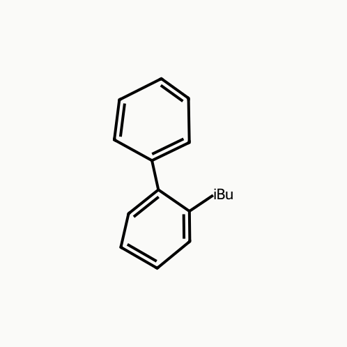 CCC(C)c1ccccc1-c1ccccc1